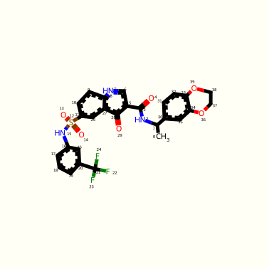 CC(NC(=O)c1c[nH]c2ccc(S(=O)(=O)Nc3cccc(C(F)(F)F)c3)cc2c1=O)c1ccc2c(c1)OCCO2